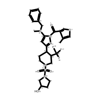 Cc1cocc1C(=O)n1nc(C2CCN(S(=O)(=O)N3CCC(O)C3)CC2C(F)(F)F)cc1N(C)Cc1ccccc1